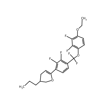 CCCC1CC=C(c2ccc(C(F)(F)Oc3ccc(OCC)c(F)c3F)c(F)c2F)OC1